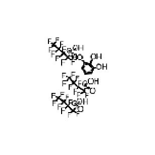 O=S(=O)(O)C(F)(F)C(F)(F)C(F)(F)C(F)(F)F.O=S(=O)(O)C(F)(F)C(F)(F)C(F)(F)C(F)(F)F.O=S(=O)(O)C(F)(F)C(F)(F)C(F)(F)C(F)(F)F.Oc1cccc(O)c1O